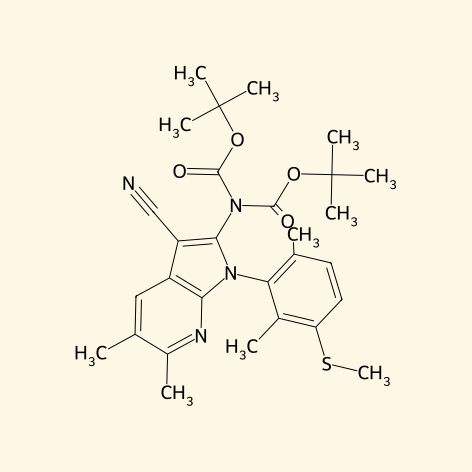 CSc1ccc(C)c(-n2c(N(C(=O)OC(C)(C)C)C(=O)OC(C)(C)C)c(C#N)c3cc(C)c(C)nc32)c1C